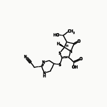 CC(O)C1C(=O)N2C(C(=O)O)=C(SC3CN=C(CC#N)NC3)S[C@H]12